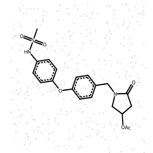 CC(=O)OC1CC(=O)N(Cc2ccc(Oc3ccc(NS(C)(=O)=O)cc3)cc2)C1